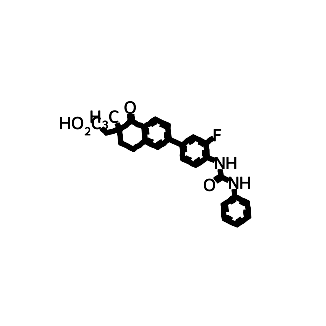 CC1(CC(=O)O)CCc2cc(-c3ccc(NC(=O)Nc4ccccc4)c(F)c3)ccc2C1=O